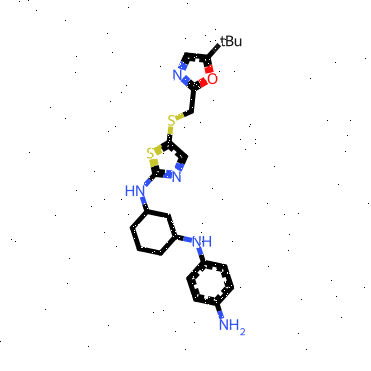 CC(C)(C)c1cnc(CSc2cnc(NC3CCCC(Nc4ccc(N)cc4)C3)s2)o1